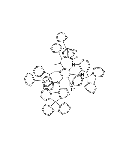 [C-]#[N+]c1c(C#N)c(N(c2ccc(-c3ccccc3)cc2)c2cccc3c2-c2ccccc2C32c3ccccc3-c3ccccc32)c2c(c1N(c1ccc(-c3ccccc3)cc1)c1cccc3c1-c1ccccc1C31c3ccccc3-c3ccccc31)C(C1c3ccccc3-c3ccccc31)CC2C1c2ccccc2-c2ccccc21